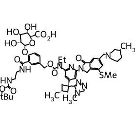 CCN(C(=O)OCc1ccc(O[C@@H]2O[C@H](C(=O)O)[C@@H](O)[C@H](O)[C@H]2O)c(C(=O)NCCNC(=O)OC(C)(C)C)c1)c1cc([C@]2(c3nncn3C)C[C@@H](C)C2)cc(N2Cc3c(SC)cc(CN4CCC[C@H](C)C4)cc3C2=O)n1